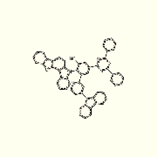 N#Cc1cc(-c2nc(-c3ccccc3)nc(-c3ccccc3)n2)cc(-c2cc(-n3c4ccccc4c4ccccc43)ccn2)c1-n1c2ccccc2c2c3oc4ccccc4c3ccc21